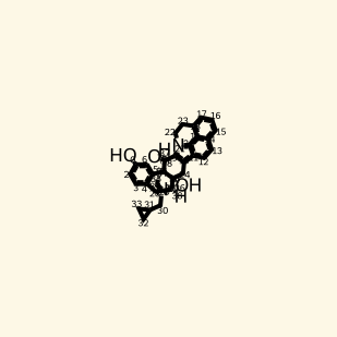 Oc1ccc2c3c1O[C@H]1c4c(c5ccc6cccc7c6c5n4CC7)C[C@@]4(O)[C@@H](C2)N(CC2CC2)CC[C@]314